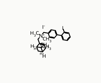 CC1(C)[C@H]2CC=C(C[N+](C)(C)Cc3ccc(-c4ccccc4I)cc3)[C@@H]1C2.[I-]